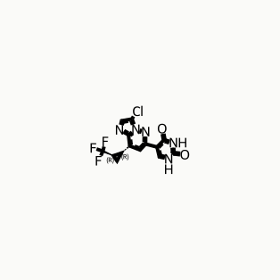 O=c1[nH]cc(-c2cc([C@@H]3C[C@H]3C(F)(F)F)c3ncc(Cl)n3n2)c(=O)[nH]1